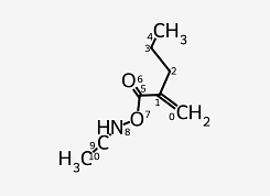 C=C(CCC)C(=O)ONCC